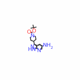 CC(C)(C)OC(=O)N1CCC(c2n[nH]c3ncc(N)cc23)CC1